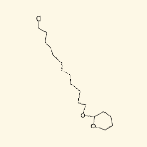 ClCCCCCCCCCCCCOC1CCCCO1